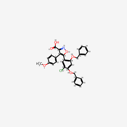 COc1ccc(-c2c(C(=O)O)noc2-c2cc(Cl)c(OCc3ccccc3)cc2OCc2ccccc2)cc1